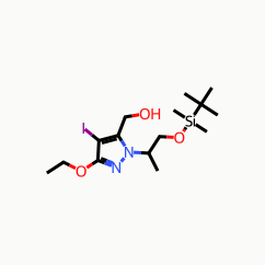 CCOc1nn(C(C)CO[Si](C)(C)C(C)(C)C)c(CO)c1I